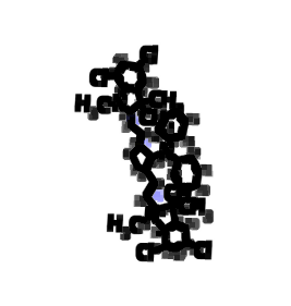 CN1/C(=C/C=C2\CCC(/C=C/C3=[N+](C)c4c(Cl)cc(Cl)cc4C3(C)C)=C2N(c2ccccc2)c2ccccc2)C(C)(C)c2cc(Cl)cc(Cl)c21